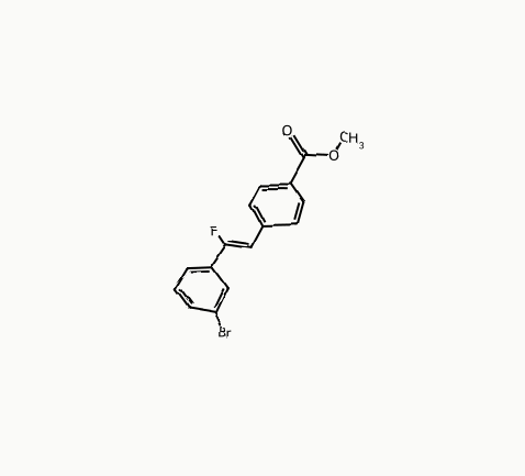 COC(=O)c1ccc(/C=C(\F)c2cccc(Br)c2)cc1